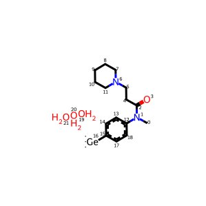 CN(C(=O)CCN1CCCCC1)c1cc[c]([Ge])cc1.O.O.O